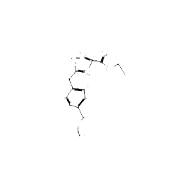 CCOC(=O)c1n[nH]c(Cc2ccc(COC)cc2)n1